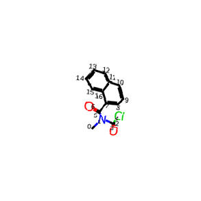 CN(C(=O)Cl)C(=O)c1cccc2ccccc12